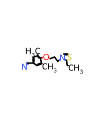 CCC1SC=CN1CCCOc1c(C)cc(C#N)cc1C